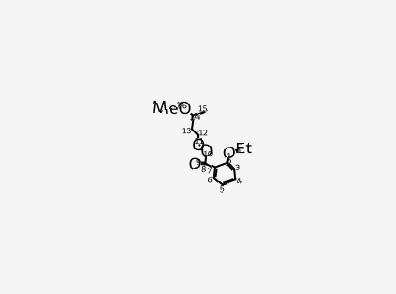 CCOc1ccccc1C(=O)OO[CH]CC(C)OC